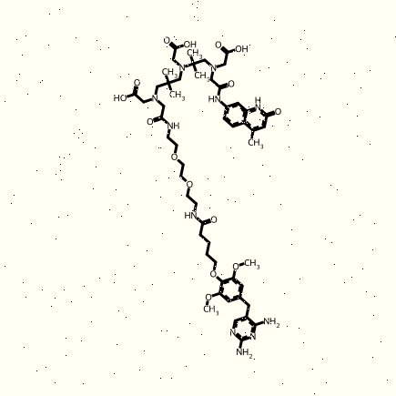 COc1cc(Cc2cnc(N)nc2N)cc(OC)c1OCCCCC(=O)NCCOCCOCCNC(=O)CN(CC(=O)O)CC(C)(C)CN(CC(=O)O)C(C)(C)CN(CC(=O)O)CC(=O)Nc1ccc2c(C)cc(=O)[nH]c2c1